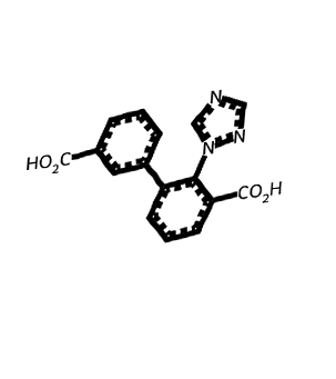 O=C(O)c1cccc(-c2cccc(C(=O)O)c2-n2cncn2)c1